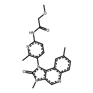 COCC(=O)Nc1ccc(-n2c(=O)n(C)c3cnc4ccc(C)cc4c32)c(C)n1